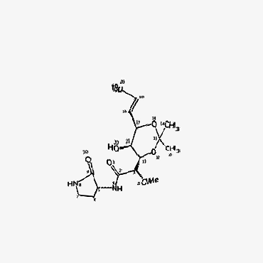 COC(C(=O)NC1CCNC1=O)[C@@H]1OC(C)(C)O[C@H](C=CC(C)(C)C)[C@@H]1O